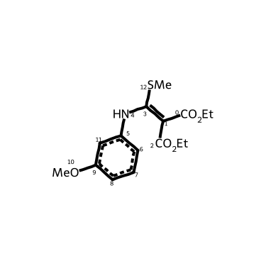 CCOC(=O)C(C(=O)OCC)=C(Nc1cccc(OC)c1)SC